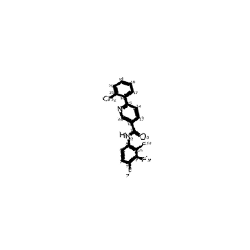 O=C(Nc1ccc(F)c(F)c1F)c1ccc(-c2ccccc2Cl)nc1